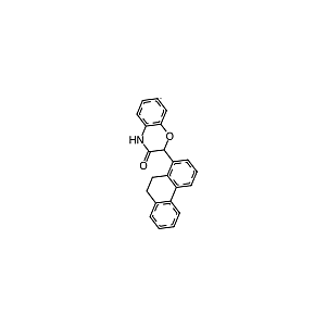 O=C1Nc2cc[c]cc2OC1c1cccc2c1CCc1ccccc1-2